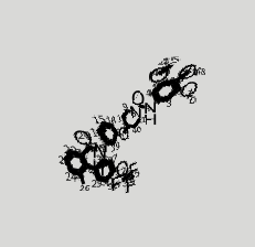 COc1cc(NC(=O)N2CCC(Oc3cccc(NC(=O)c4cccc(C)c4-c4ccc(OC(F)(F)F)cc4)c3)CC2)cc(OC)c1OC